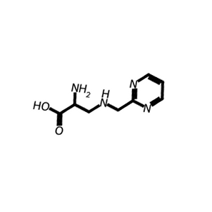 NC(CNCc1ncccn1)C(=O)O